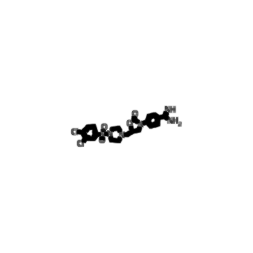 N=C(N)c1ccc(N2CC(CN3CCN(S(=O)(=O)c4ccc(Cl)c(Cl)c4)CC3)OC2=O)cc1